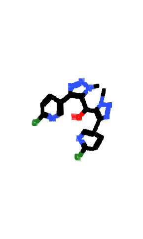 Cn1nnc(-c2ccc(Cl)nc2)c1C(O)c1c(-c2ccc(Cl)nc2)nnn1C